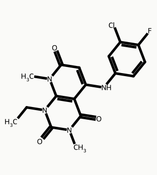 CCn1c(=O)n(C)c(=O)c2c(Nc3ccc(F)c(Cl)c3)cc(=O)n(C)c21